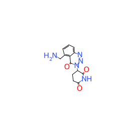 NCc1cccc2nnn(C3CCC(=O)NC3=O)c(=O)c12